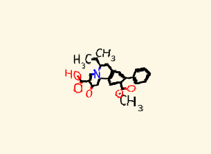 COC(=O)c1cc2c(cc1-c1ccccc1)CC(C(C)C)n1cc(C(=O)O)c(=O)cc1-2